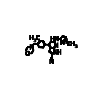 Cc1cc(-c2cc(Nc3ccn(C)n3)nc3[nH]c(C#N)cc23)ccc1CN1CCOCC1